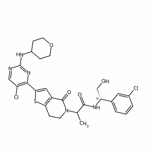 CC(C(=O)N[C@H](CO)c1cccc(Cl)c1)N1CCc2sc(-c3nc(NC4CCOCC4)ncc3Cl)cc2C1=O